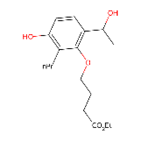 CCCc1c(O)ccc(C(C)O)c1OCCCC(=O)OCC